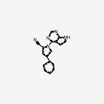 N#Cc1cc(-c2ccccc2)cn1-c1ncnc2[nH]ccc12